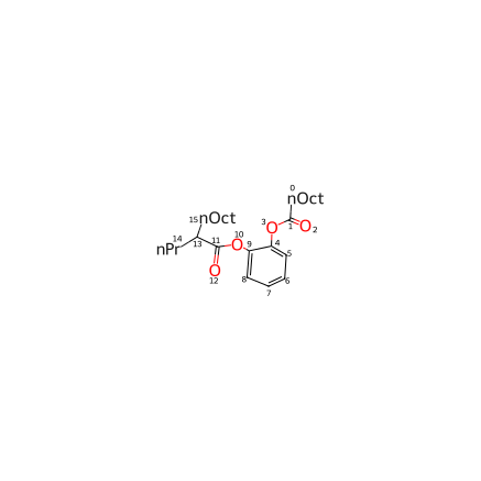 CCCCCCCCC(=O)Oc1ccccc1OC(=O)C(CCC)CCCCCCCC